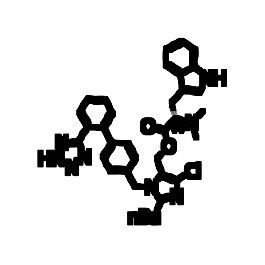 CCCCc1nc(Cl)c(COC(=O)[C@H](Cc2c[nH]c3ccccc23)N(C)C)n1Cc1ccc(-c2ccccc2-c2nn[nH]n2)cc1